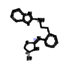 CC[C@@H]1CS/C(=N/c2ccccc2CCNc2nc3ccccc3s2)N1